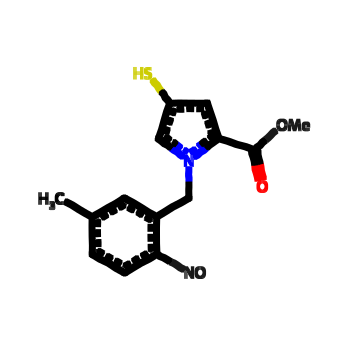 COC(=O)c1cc(S)cn1Cc1cc(C)ccc1N=O